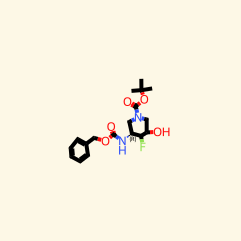 CC(C)(C)OC(=O)N1CC(O)C(F)[C@H](NC(=O)OCc2ccccc2)C1